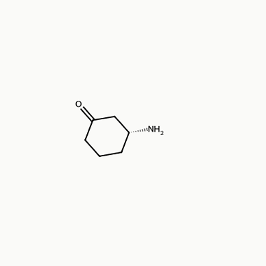 N[C@@H]1CCCC(=O)C1